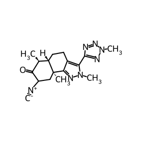 [C-]#[N+]C1C[C@]2(C)c3nn(C)c(-c4nnn(C)n4)c3CC[C@H]2[C@H](C)C1=O